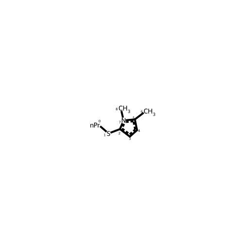 CCCSc1ccc(C)n1C